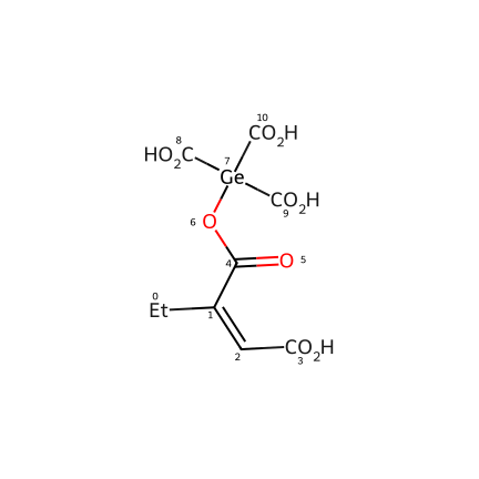 CCC(=CC(=O)O)C(=O)[O][Ge]([C](=O)O)([C](=O)O)[C](=O)O